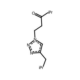 CC(C)Cc1cn(CCC(=O)C(C)C)nn1